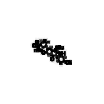 CCCCOc1cc2c(=O)c3c4ccc(C#N)cc4[nH]c3n(CCCC)c2cc1-c1cncc(S(=O)(=O)F)c1